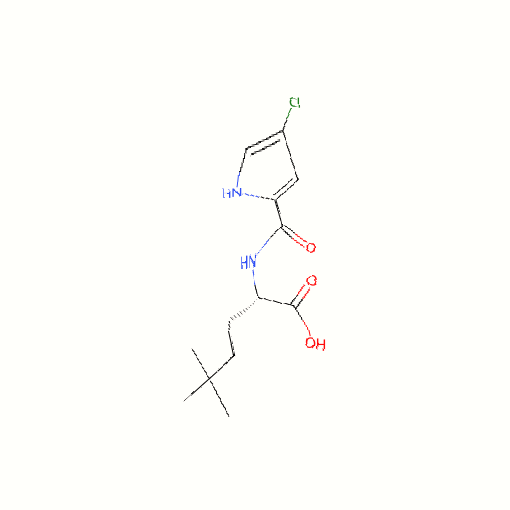 CC(C)(C)CC[C@H](NC(=O)c1cc(Cl)c[nH]1)C(=O)O